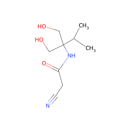 CC(C)C(CO)(CO)NC(=O)CC#N